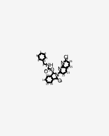 O=C(NCc1ccccc1)OC1c2ccccc2C(=O)N1c1ccc2ccc(Cl)nc2n1